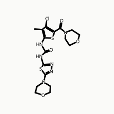 Cc1c(NC(=O)Nc2nnc(N3CCOCC3)s2)sc(C(=O)N2CCOCC2)c1Cl